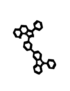 c1ccc(-c2nc(-c3cccc(-c4ccc5c(c4)c4ccccc4n5-c4ccccc4)c3)n3c2ccc2cccnc23)cc1